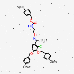 COc1ccc(COC(=O)NCCO/N=C(\C(=O)O)c2ccc(OCc3ccc(OC)cc3)c(OCc3ccc(OC)cc3)c2Cl)cc1